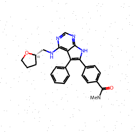 CNC(=O)c1ccc(-c2[nH]c3ncnc(NC[C@@H]4CCCO4)c3c2-c2ccccc2)cc1